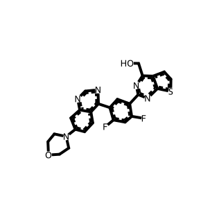 OCc1nc(-c2cc(-c3ncnc4cc(N5CCOCC5)ccc34)c(F)cc2F)nc2sccc12